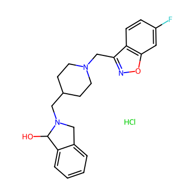 Cl.OC1c2ccccc2CN1CC1CCN(Cc2noc3cc(F)ccc23)CC1